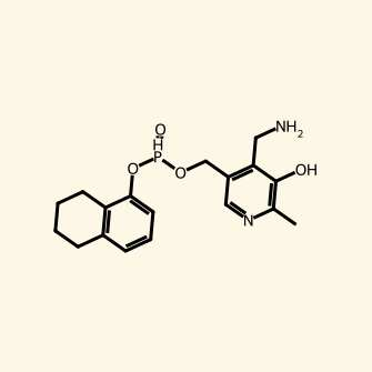 Cc1ncc(CO[PH](=O)Oc2cccc3c2CCCC3)c(CN)c1O